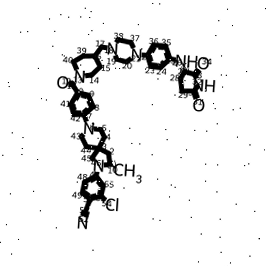 C[C@H]1CC2(CCN(c3ccc(C(=O)N4CCC(CN5CCN(c6ccc(N[C@H]7CCC(=O)NC7=O)cc6)CC5)CC4)cc3)CC2)CN1c1ccc(C#N)c(Cl)c1